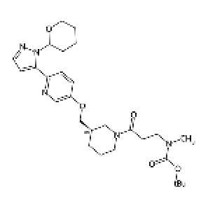 CN(CCC(=O)N1CCC[C@@H](COc2ccc(-c3ccnn3C3CCCCO3)nc2)C1)C(=O)OC(C)(C)C